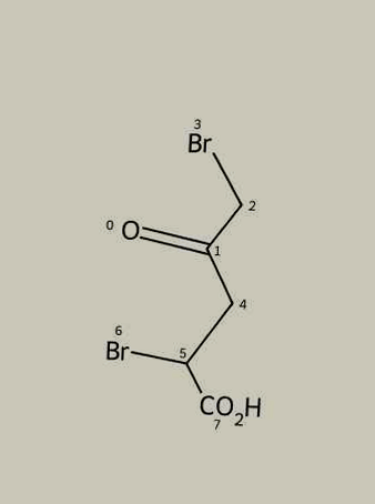 O=C(CBr)CC(Br)C(=O)O